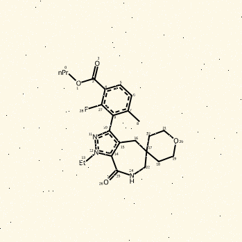 CCCOC(=O)c1ccc(C)c(-c2nn(CC)c3c2CC2(CCOCC2)CNC3=O)c1F